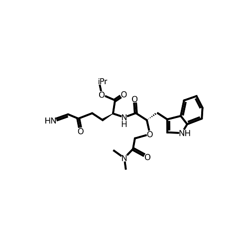 CC(C)OC(=O)[C@H](CCC(=O)C=N)NC(=O)[C@H](Cc1c[nH]c2ccccc12)OCC(=O)N(C)C